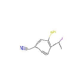 CC(I)c1ccc(C#N)cc1S